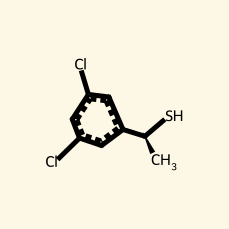 C[C@H](S)c1cc(Cl)cc(Cl)c1